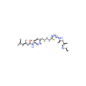 C=C/N=C\C(=C)CC(=C)Nc1nnc(CCCCc2ccc(NC(=O)C/C(C)=C/C(=C)C)nn2)s1